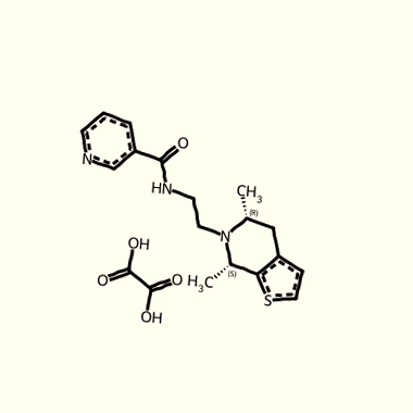 C[C@@H]1Cc2ccsc2[C@H](C)N1CCNC(=O)c1cccnc1.O=C(O)C(=O)O